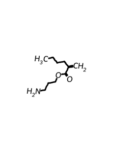 C=C(CCCC)C(=O)OCCCN